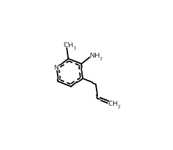 C=CCc1ccnc(C)c1N